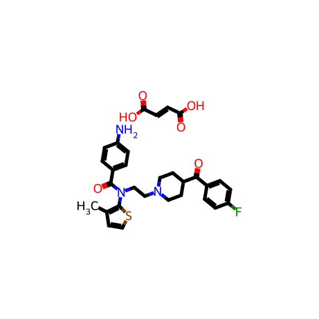 Cc1ccsc1N(CCN1CCC(C(=O)c2ccc(F)cc2)CC1)C(=O)c1ccc(N)cc1.O=C(O)C=CC(=O)O